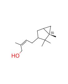 CC(=CCC1CC2C[C@]2(C)C1(C)C)CO